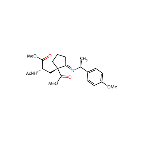 COC(=O)[C@H](C[C@@]1(C(=O)OC)CCC/C1=N\[C@@H](C)c1ccc(OC)cc1)NC(C)=O